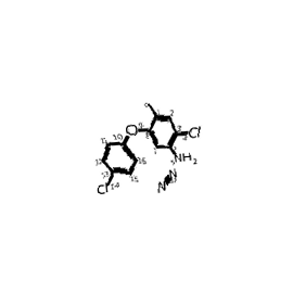 Cc1cc(Cl)c(N)cc1Oc1ccc(Cl)cc1.N#N